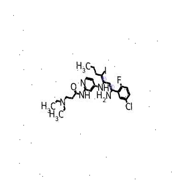 CCC/C(I)=C(/C=C(\N)c1cc(Cl)ccc1F)Nc1ccnc(NC(=O)CCN(CC)CC)c1